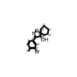 Cc1ccc(C2=NOC3(CCCCC3)C2O)cc1Br